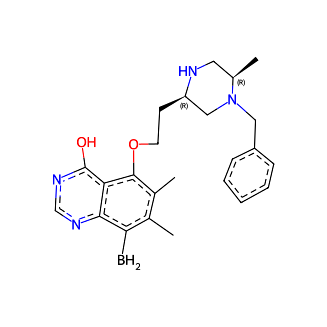 Bc1c(C)c(C)c(OCC[C@@H]2CN(Cc3ccccc3)[C@H](C)CN2)c2c(O)ncnc12